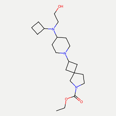 CCOC(=O)N1CCC2(CC(N3CCC(N(CCO)C4CCC4)CC3)C2)C1